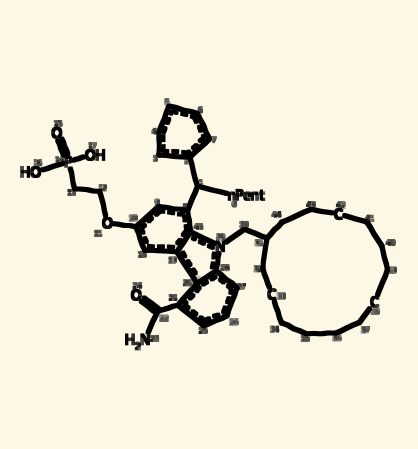 CCCCCC(c1ccccc1)c1cc(OCCP(=O)(O)O)cc2c3c(C(N)=O)cccc3n(CC3CCCCCCCCCCCCC3)c12